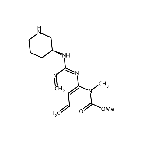 C=CC=C(/N=C(\N=C)N[C@H]1CCCNC1)N(C)C(=O)OC